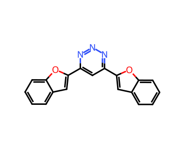 c1ccc2oc(-c3cc(-c4cc5ccccc5o4)nnn3)cc2c1